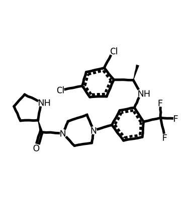 C[C@@H](Nc1cc(N2CCN(C(=O)[C@H]3CCCN3)CC2)ccc1C(F)(F)F)c1ccc(Cl)cc1Cl